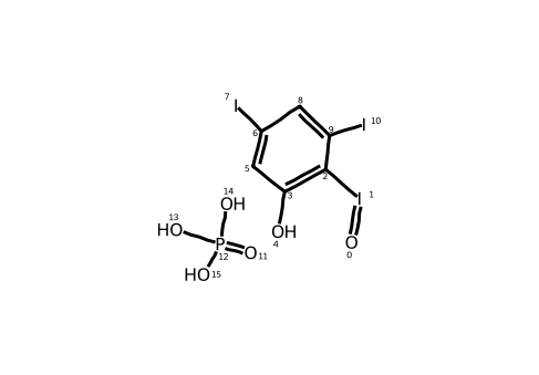 O=Ic1c(O)cc(I)cc1I.O=P(O)(O)O